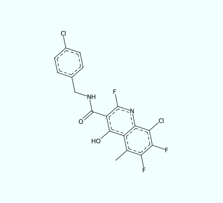 Cc1c(F)c(F)c(Cl)c2nc(F)c(C(=O)NCc3ccc(Cl)cc3)c(O)c12